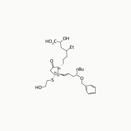 CCCCC(CC=C[C@H]1[C@H](SCCO)CC(=O)[C@@H]1CCCC(CC)CC(O)C(=O)O)OCc1ccccc1